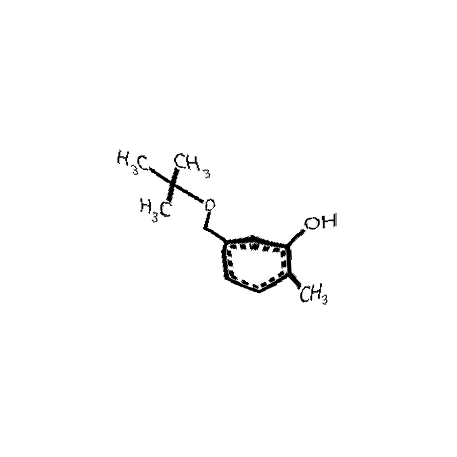 Cc1ccc(COC(C)(C)C)cc1O